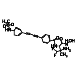 CC(N)(C(F)F)[C@H](NC(=O)c1ccc(C#CC#Cc2ccc(NS(C)(=O)=O)cc2)cc1)C(=O)NO